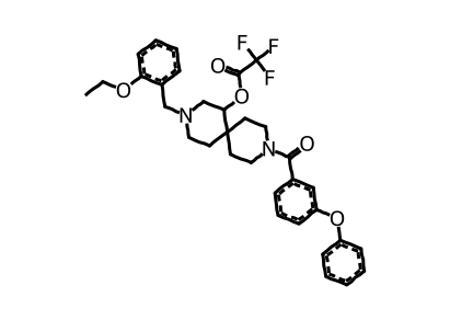 CCOc1ccccc1CN1CCC2(CCN(C(=O)c3cccc(Oc4ccccc4)c3)CC2)C(OC(=O)C(F)(F)F)C1